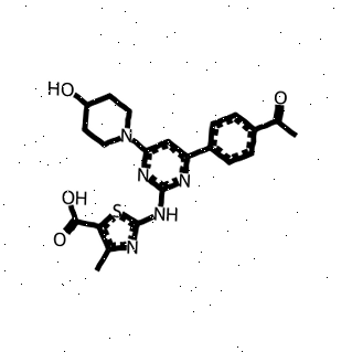 CC(=O)c1ccc(-c2cc(N3CCC(O)CC3)nc(Nc3nc(C)c(C(=O)O)s3)n2)cc1